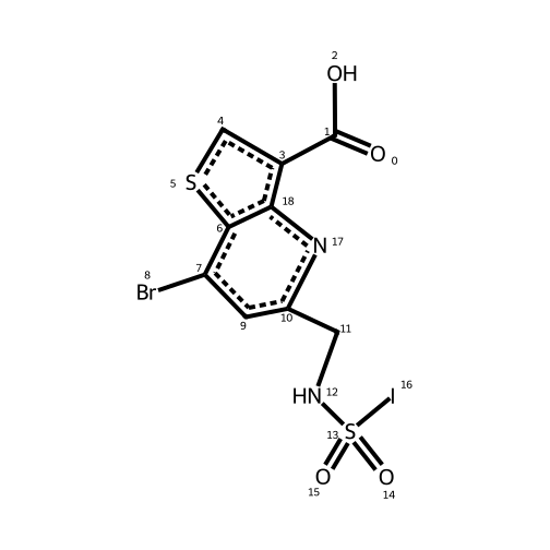 O=C(O)c1csc2c(Br)cc(CNS(=O)(=O)I)nc12